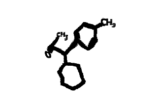 CC(=O)C([C]1CCCCC1)c1ccc(C)cc1